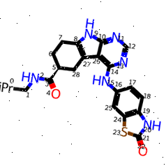 CC(C)CNC(=O)[C@H]1CCc2[nH]c3ncnc(Nc4ccc5[nH]c(=O)sc5c4)c3c2C1